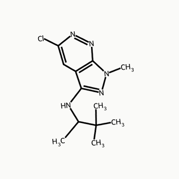 CC(Nc1nn(C)c2nnc(Cl)cc12)C(C)(C)C